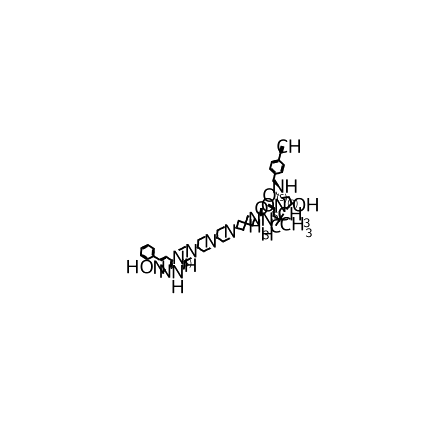 C#Cc1ccc(CNC(=O)[C@@H]2C[C@@H](O)CN2C(=O)[C@@H](NC(=O)N2CC3(CC(N4CCC(N5CCC(N6CCN7c8cc(-c9ccccc9O)nnc8NC[C@H]7C6)CC5)CC4)C3)C2)C(C)(C)C)cc1